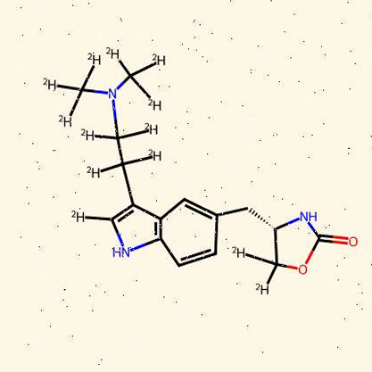 [2H]c1[nH]c2ccc(C[C@@H]3NC(=O)OC3([2H])[2H])cc2c1C([2H])([2H])C([2H])([2H])N(C([2H])([2H])[2H])C([2H])([2H])[2H]